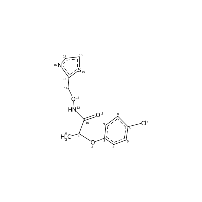 CC(Oc1ccc(Cl)cc1)C(=O)NOCc1nccs1